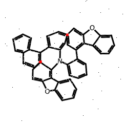 C1=c2oc3ccccc3c2=C(N(c2ccccc2-c2cccc3ccccc23)c2ccccc2-c2cccc3oc4ccccc4c23)CC1